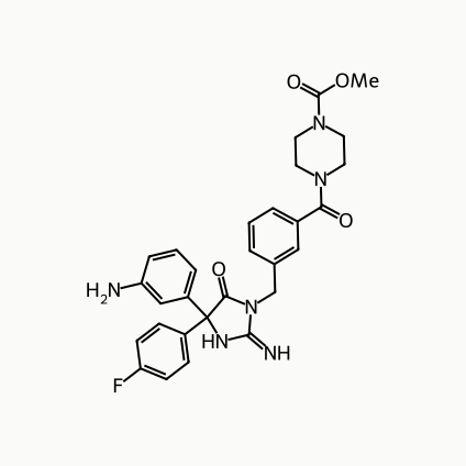 COC(=O)N1CCN(C(=O)c2cccc(CN3C(=N)NC(c4ccc(F)cc4)(c4cccc(N)c4)C3=O)c2)CC1